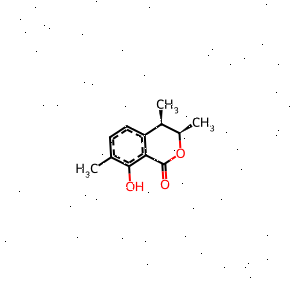 Cc1ccc2c(c1O)C(=O)O[C@H](C)[C@@H]2C